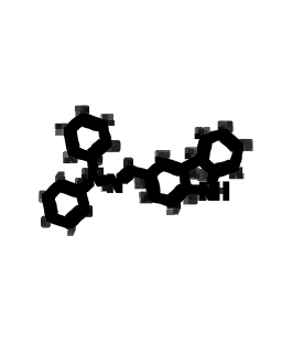 C(=N\N(c1ccccc1)c1ccccc1)/c1ccc2[nH]c3ccccc3c2c1